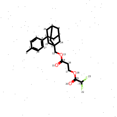 Cc1ccc(C23CC4CC(CC(COC(=O)CCOC(=O)C(F)F)(C4)C2)C3)cc1